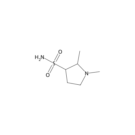 CC1C(S(N)(=O)=O)CCN1C